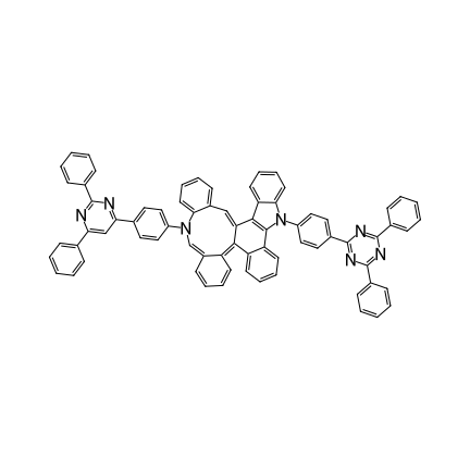 c1ccc(-c2cc(-c3ccc(-n4cc5ccccc5c5c6ccccc6c6c(c5cc5ccccc54)c4ccccc4n6-c4ccc(-c5nc(-c6ccccc6)nc(-c6ccccc6)n5)cc4)cc3)nc(-c3ccccc3)n2)cc1